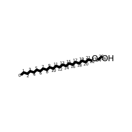 CCCCCCCCCCCCCCCCCCCCCCCOCCO